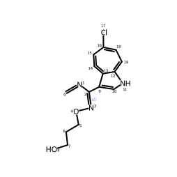 C=N/C(=N\OCCCO)c1c[nH]c2c1=C=CC(Cl)=CC=2